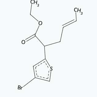 CC=CCC(C(=O)OCC)c1cc(Br)cs1